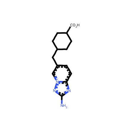 Nc1nc2ccc(CC3CCC(C(=O)O)CC3)cn2n1